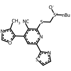 CCCC[S+]([O-])CSc1nc(-c2nccs2)cc(-c2ocnc2C)c1C#N